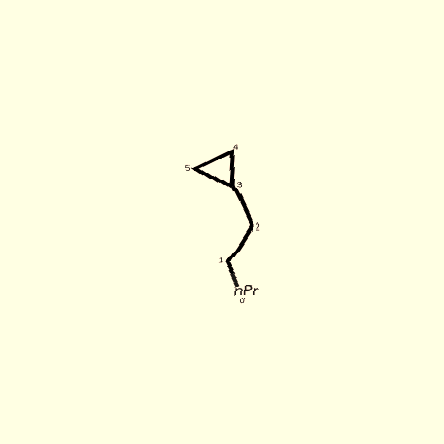 [CH2]CCC[CH]C1CC1